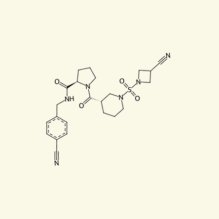 N#Cc1ccc(CNC(=O)[C@H]2CCCN2C(=O)[C@H]2CCCN(S(=O)(=O)N3CC(C#N)C3)C2)cc1